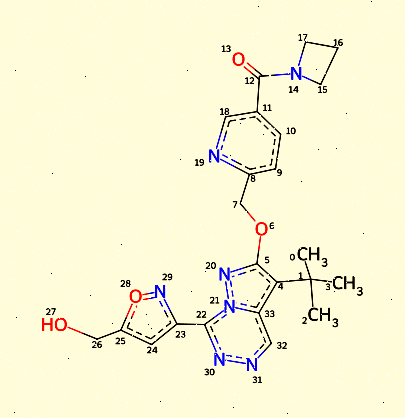 CC(C)(C)c1c(OCc2ccc(C(=O)N3CCC3)cn2)nn2c(-c3cc(CO)on3)nncc12